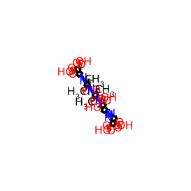 COc1cc(N=Nc2ccc3c(S(=O)(=O)O)cc(S(=O)(=O)O)cc3c2)c(C)cc1N=Nc1cc(OC)c(N=Nc2c(S(=O)(=O)O)cc3cc(-n4nc5ccc6c(S(=O)(=O)O)cc(S(=O)(=O)O)cc6c5n4)ccc3c2O)cc1OC